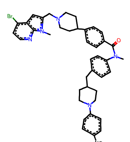 CN(C(=O)c1ccc(C2CCN(Cc3cc4c(Br)ccnc4n3C)CC2)cc1)c1ccc(CC2CCN(c3ccc([N+](=O)[O-])cc3)CC2)cc1